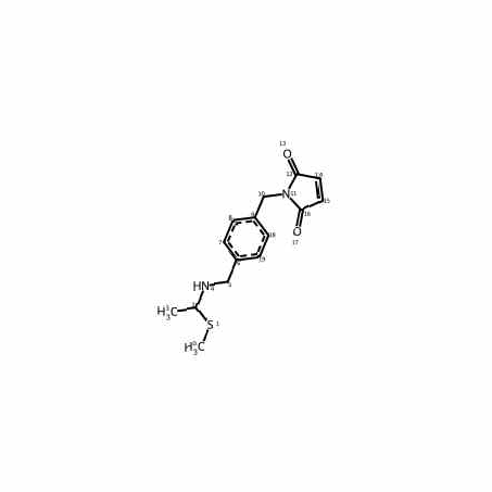 CSC(C)NCc1ccc(CN2C(=O)C=CC2=O)cc1